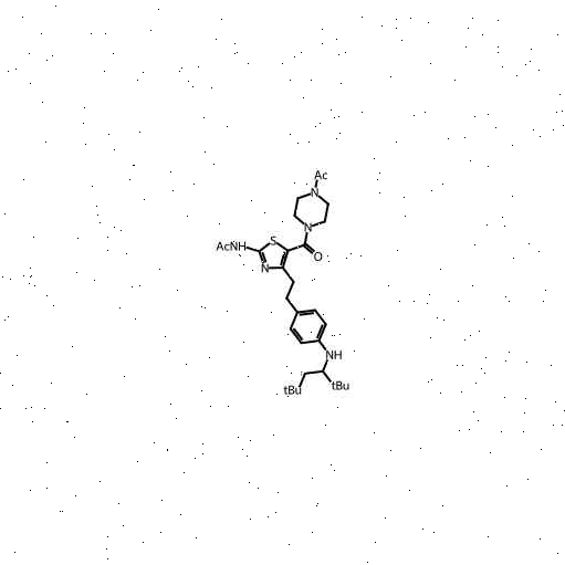 CC(=O)Nc1nc(CCc2ccc(NC([C]C(C)(C)C)C(C)(C)C)cc2)c(C(=O)N2CCN(C(C)=O)CC2)s1